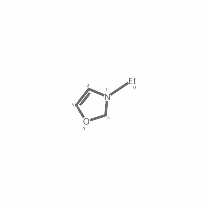 [CH2]CN1C=COC1